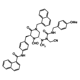 COc1ccc(CNC(=O)N(CC#N)N(C)[C@H]2CN(Cc3cccc4ccccc34)C(=O)[C@H](Cc3ccc(NC(=O)c4cccc5ccccc45)cc3)N2C=O)cc1